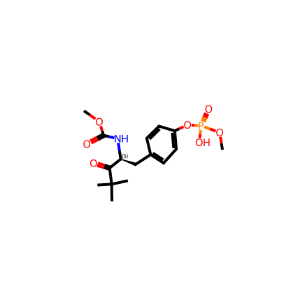 COC(=O)N[C@@H](Cc1ccc(OP(=O)(O)OC)cc1)C(=O)C(C)(C)C